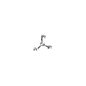 C[CH](C)[Ga]([CH](C)C)[CH](C)C